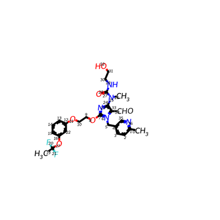 Cc1ccc(Cn2c(OCCOc3cccc(OC(C)(F)F)c3)nc(N(C)C(=O)NCCO)c2C=O)cn1